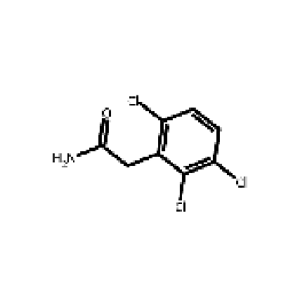 NC(=O)Cc1c(Cl)ccc(Cl)c1Cl